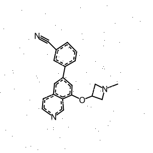 CN1CC(Oc2cc(-c3cccc(C#N)c3)cc3ccncc23)C1